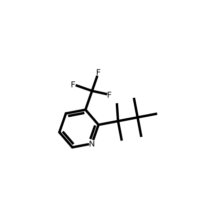 CC(C)(C)C(C)(C)c1ncccc1C(F)(F)F